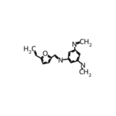 C=Cc1ccc(C=Nc2cc(N=C)cc(N=C)c2)o1